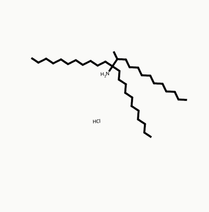 CCCCCCCCCCCC(C)C(N)(CCCCCCCCCCC)CCCCCCCCCCC.Cl